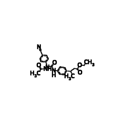 CCOC(=O)CC(C)c1ccc(NC(=O)N(NC(C)=O)c2ccc(C#N)cc2)cc1